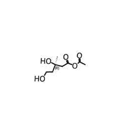 CC(=O)OC(=O)C[C@](C)(O)CCO